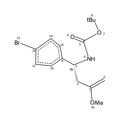 C=C(C[C@@H](NC(=O)OC(C)(C)C)c1ccc(Br)cc1)OC